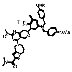 COc1ccc(CN(Cc2ccc(OC)cc2)c2cc(C)c(C(F)(F)F)c(C3Cc4nc([S+](C)[O-])nc(N5CCCn6nc(C(=O)N(C)C)cc6C5)c4CO3)c2)cc1